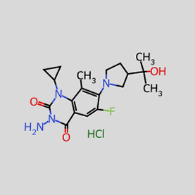 Cc1c(N2CCC(C(C)(C)O)C2)c(F)cc2c(=O)n(N)c(=O)n(C3CC3)c12.Cl